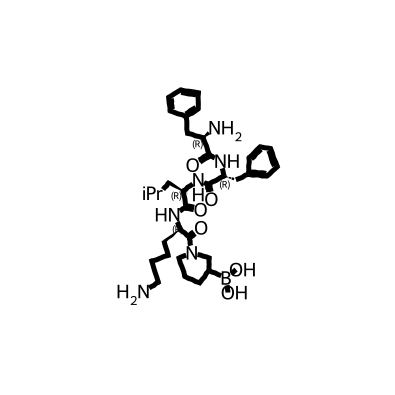 CC(C)C[C@@H](NC(=O)[C@@H](Cc1ccccc1)NC(=O)[C@H](N)Cc1ccccc1)C(=O)N[C@H](CCCCN)C(=O)N1CCCC(B(O)O)C1